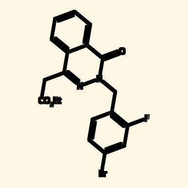 CCOC(=O)Cc1nn(Cc2ccc(Br)cc2F)c(=O)c2ccccc12